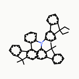 CCC1(CC)c2ccccc2-c2cc(N(c3ccccc3-c3cccc4c3-c3ccccc3C4(C)C)c3cccc4c3C(C)(C)c3ccccc3-4)ccc21